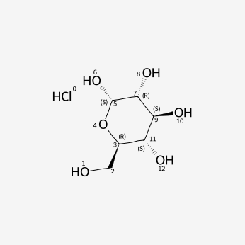 Cl.OC[C@H]1O[C@H](O)[C@H](O)[C@@H](O)[C@@H]1O